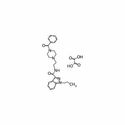 CCCn1nc(C(=O)NCCN2CCN(C(=O)c3ccccc3)CC2)c2ccccc21.O=C(O)C(=O)O